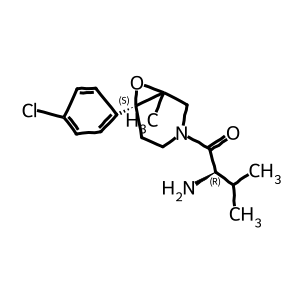 CC(C)[C@@H](N)C(=O)N1CC[C@@]2(c3ccc(Cl)cc3)OC2(C)C1